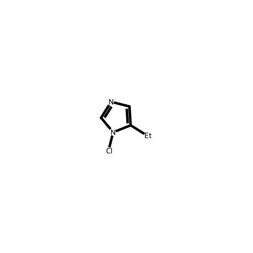 CCc1cncn1Cl